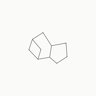 C1CC2CC3CC(C3)C2C1